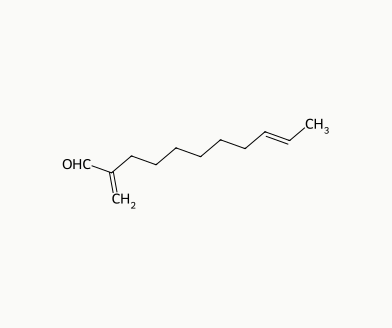 C=C(C=O)CCCCCCC=CC